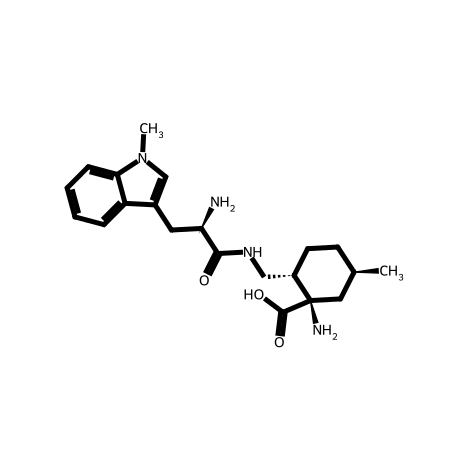 C[C@@H]1CC[C@@H](CNC(=O)[C@H](N)Cc2cn(C)c3ccccc23)[C@@](N)(C(=O)O)C1